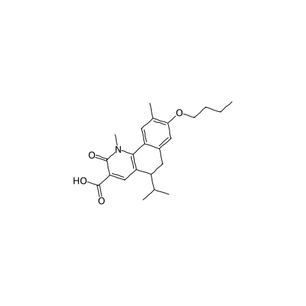 CCCCOc1cc2c(cc1C)-c1c(cc(C(=O)O)c(=O)n1C)C(C(C)C)C2